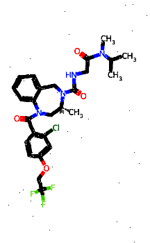 CC(C)N(C)C(=O)CNC(=O)N1Cc2ccccc2N(C(=O)c2ccc(OCC(F)(F)F)cc2Cl)C[C@H]1C